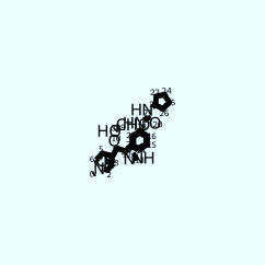 CN1CC2CCC1CN2C(=O)c1n[nH]c2ccc(NC(=O)NC3CCCC3)cc12.O=CO